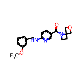 O=C(c1ccc(NCc2cccc(OC(F)(F)F)c2)nc1)N1CCC12COC2